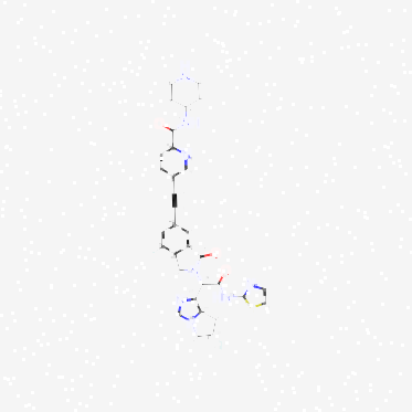 Cl.O=C(NC1CCNCC1)c1ccc(C#Cc2cc(F)c3c(c2)C(=O)N(C(C(=O)Nc2nccs2)c2ncn4c2C[C@@H](F)C4)C3)cn1